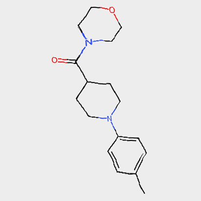 Cc1ccc(N2CCC(C(=O)N3CCOCC3)CC2)cc1